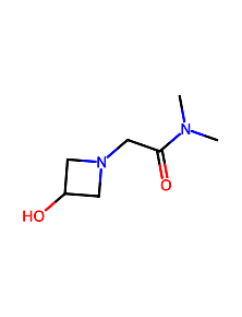 CN(C)C(=O)CN1CC(O)C1